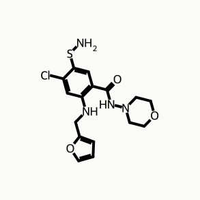 NSc1cc(C(=O)NN2CCOCC2)c(NCc2ccco2)cc1Cl